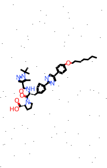 CCCCCCCOc1ccc(-c2cnc(-c3ccc(C[C@H](NC(=O)c4cnn(C(C)(C)C)c4C)C(=O)N4CCC[C@H]4C(=O)O)cc3)nc2)cc1